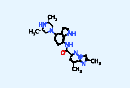 Cc1cn2nc(C(=O)Nc3ccc(N4C[C@@H](C)N[C@@H](C)C4)c4cc[nH]c34)cc(C)c2n1